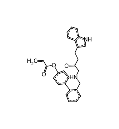 C=CC(=O)Oc1ccc(-c2ccccc2CNCC(=O)CCc2c[nH]c3ccccc23)cc1